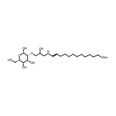 CCCCCCCCCCCCCCCCCCCC/C=C/NCC(O)CO[C@@H]1[C@@H](O)[C@@H](O)[C@@H](CO)O[C@H]1O